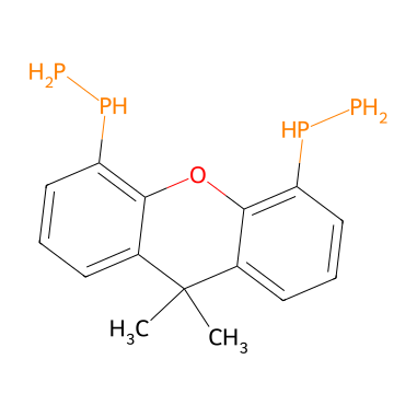 CC1(C)c2cccc(PP)c2Oc2c(PP)cccc21